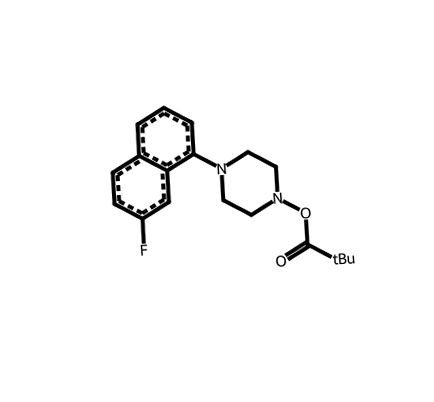 CC(C)(C)C(=O)ON1CCN(c2cccc3ccc(F)cc23)CC1